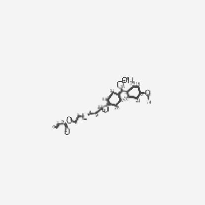 C=CC(=O)OCCCCCCOC1CCC(C(OO)C2CCC(OC)CC2)CC1